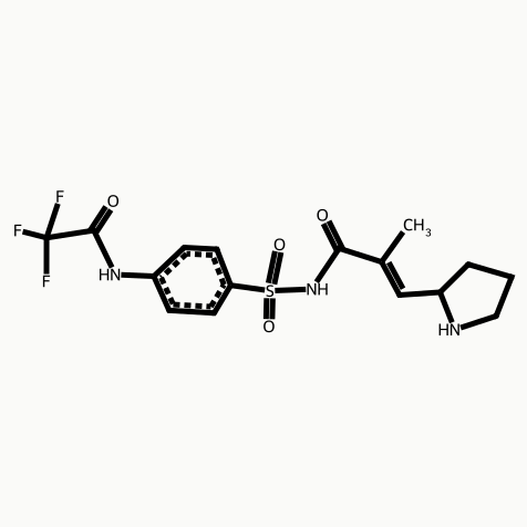 CC(=CC1CCCN1)C(=O)NS(=O)(=O)c1ccc(NC(=O)C(F)(F)F)cc1